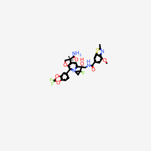 COc1cc(C(=O)NC[C@](O)(c2cc3c(c(-c4ccc5c(c4)OC(F)(F)O5)n2)OC[C@]3(C)C(N)=O)C2(F)CC2)cc2sc(C)nc12